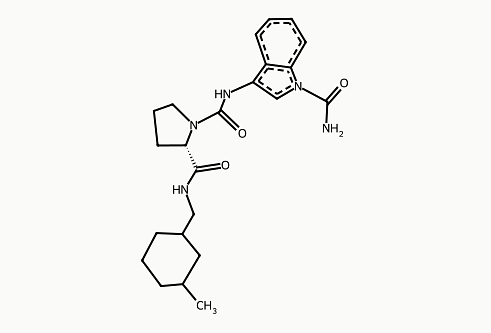 CC1CCCC(CNC(=O)[C@@H]2CCCN2C(=O)Nc2cn(C(N)=O)c3ccccc23)C1